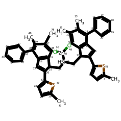 Cc1ccc(C2=Cc3c(cc(C)c(C)c3-c3ccccc3)C2C[SiH](CC2C(c3ccc(C)s3)=Cc3c2cc(C)c(C)c3-c2ccccc2)[Zr]([Cl])[Cl])s1